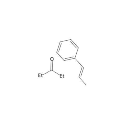 CC=Cc1ccccc1.CCC(=O)CC